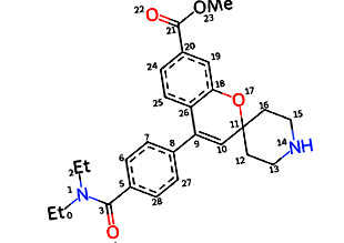 CCN(CC)C(=O)c1ccc(C2=CC3(CCNCC3)Oc3cc(C(=O)OC)ccc32)cc1